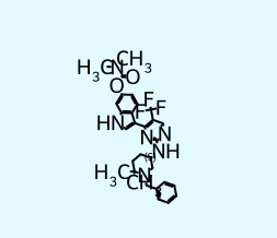 CN(C)C(=O)Oc1ccc2c(-c3nc(N[C@H]4CCC(C)(C)N(Cc5ccccc5)C4)ncc3C(F)(F)F)c[nH]c2c1